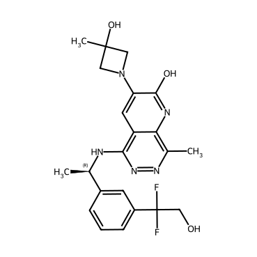 Cc1nnc(N[C@H](C)c2cccc(C(F)(F)CO)c2)c2cc(N3CC(C)(O)C3)c(O)nc12